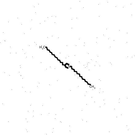 CCCCCCCCCCCCCCCC[n+]1ccc(CCCCCCCCCCCCCCC)cc1